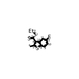 CCSC(=S)c1c(C)sc2ccc(F)cc12